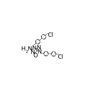 Nc1nc(=O)c2c(ncn2Cc2ccc(-c3ccc(CCl)cc3)cc2)n1Cc1ccc(-c2ccc(CCl)cc2)cc1